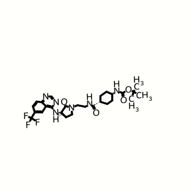 CC(C)(C)OC(=O)N[C@H]1CC[C@H](C(=O)NCCN2CC[C@H](Nc3ncnc4ccc(C(F)(F)F)cc34)C2=O)CC1